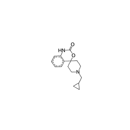 O=C1Nc2ccccc2C2(CCN(CC3CC3)CC2)O1